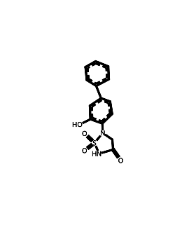 O=C1CN(c2ccc(-c3ccccc3)cc2O)S(=O)(=O)N1